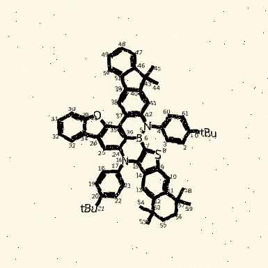 CC(C)(C)c1ccc(N2B3c4sc5cc6c(cc5c4N(c4ccc(C(C)(C)C)cc4)c4cc5c(oc7ccccc75)c(c43)-c3cc4c(cc32)C(C)(C)c2ccccc2-4)C(C)(C)CCC6(C)C)cc1